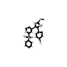 CSc1nc(-c2ccnc(S(=O)(=O)c3ccccc3)c2)c(-c2ccc(F)cc2)[nH]1